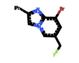 CC(C)c1cn2cc(CF)cc(Br)c2n1